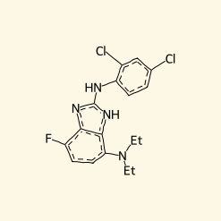 CCN(CC)c1ccc(F)c2nc(Nc3ccc(Cl)cc3Cl)[nH]c12